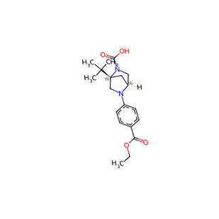 CCOC(=O)c1ccc(N2C[C@@]3(C(C)(C)C)C[C@H]2CN3C(=O)O)cc1